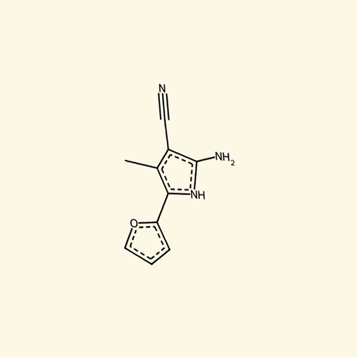 Cc1c(-c2ccco2)[nH]c(N)c1C#N